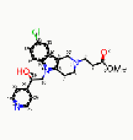 COC(=O)CCN1CCc2c(c3cc(Cl)ccc3n2CC(O)c2ccncc2)C1